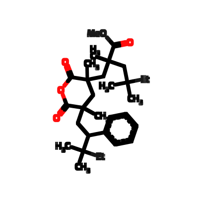 CCC(C)(C)CC(C)(CC1(C)CC(C)(CC(c2ccccc2)C(C)(C)CC)C(=O)OC1=O)C(=O)OC